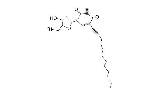 [2H]CC1OC(n2cc(C#CCCCCCCCCCC)c(=O)[nH]c2=O)CC1O